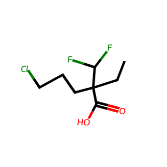 CCC(CCCCl)(C(=O)O)C(F)F